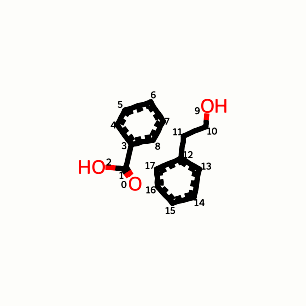 O=C(O)c1ccccc1.OCCc1ccccc1